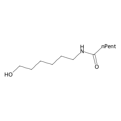 CCCCCC(=O)NCCCCCCO